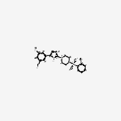 O=S(=O)(c1ccccc1Br)N1CCN(c2nc(-c3cc(F)cc(F)c3)cs2)CC1